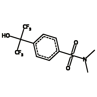 CN(C)S(=O)(=O)c1ccc(C(O)(C(F)(F)F)C(F)(F)F)cc1